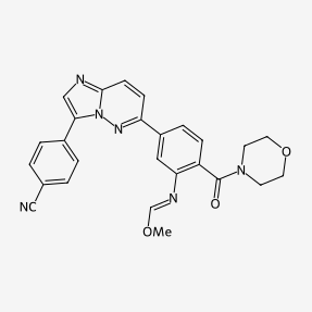 COC=Nc1cc(-c2ccc3ncc(-c4ccc(C#N)cc4)n3n2)ccc1C(=O)N1CCOCC1